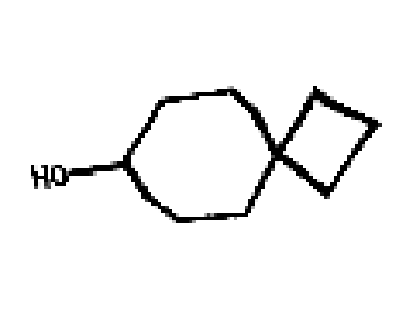 OC1CCC2(CCC2)CC1